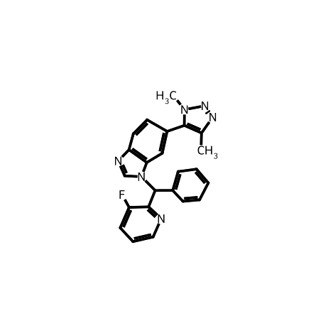 Cc1nnn(C)c1-c1ccc2ncn(C(c3ccccc3)c3ncccc3F)c2c1